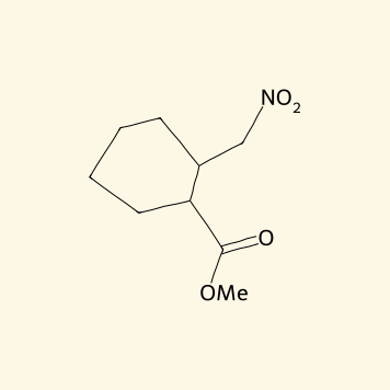 COC(=O)C1CCCCC1C[N+](=O)[O-]